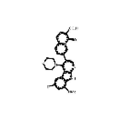 CNc1cc(F)cc2c1[nH]c1ncc(-c3ccc4ccc(C(=O)O)c(=O)n4c3)c(N3CCOCC3)c12